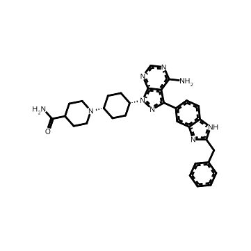 NC(=O)C1CCN([C@H]2CC[C@@H](n3nc(-c4ccc5[nH]c(Cc6ccccc6)nc5c4)c4c(N)ncnc43)CC2)CC1